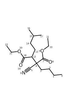 CCCCC(C#N)(C(=O)OCC)C(CCC(C)C)C(=O)OCC